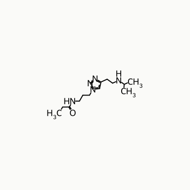 CCC(=O)NCCCn1cc(CCNC(C)C)nn1